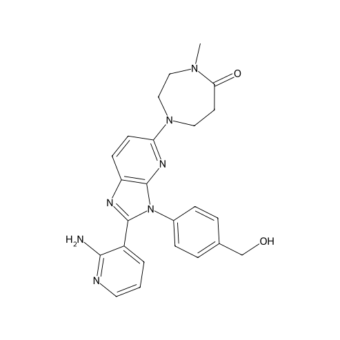 CN1CCN(c2ccc3nc(-c4cccnc4N)n(-c4ccc(CO)cc4)c3n2)CCC1=O